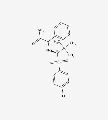 CC(C)(C)[C@H](NC(C(N)=O)c1ccccc1)S(=O)(=O)c1ccc(Cl)cc1